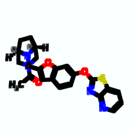 CC(=O)N1C[C@H]2CC[C@H](C1)N2Cc1cc2ccc(Oc3nc4ncccc4s3)cc2o1